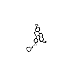 Oc1ccc2c(c1)COC(c1ccc(OCCN3CCCCC3)cc1)c1c-2ccc2cc(O)ccc12